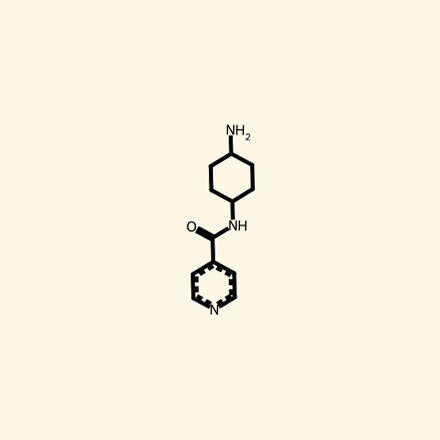 NC1CCC(NC(=O)c2ccncc2)CC1